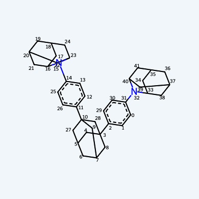 c1cc(C23CC4CC(C2)CC(c2ccc(N5C6CC7CC(C6)CC5C7)cc2)(C4)C3)ccc1N1C2CC3CC(C2)CC1C3